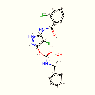 O=C(N[C@H](CO)c1ccccc1)Oc1n[nH]c(NC(=O)c2ccccc2Cl)c1Br